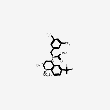 CCOC(=O)N1c2ccc(C(F)(F)I)cc2[C@@H](N(Cc2cc(C(F)(F)F)cc(C(F)(F)F)c2)C(=O)OC)C[C@H]1CC